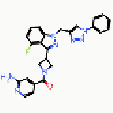 Nc1cc(C(=O)N2CC(c3nn(Cc4cn(-c5ccccc5)nn4)c4cccc(F)c34)C2)ccn1